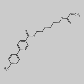 C=CC(=O)OCCCCCCOC(=O)c1ccc(-c2ccc(C)cc2)cc1